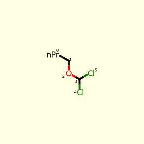 CCCCOC(Cl)Cl